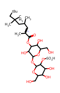 C/C(=C\C(C)CC(C)(C)CC(C)(C)C)C(=O)OC1C(O)C(CO)OC(OC2OC(CO)C(O)C(O)C2OS(=O)(=O)O)C1O